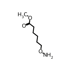 COC(=O)CCCCCON